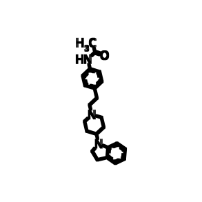 CC(=O)Nc1ccc(CCN2CCC(N3CCc4ccccc43)CC2)cc1